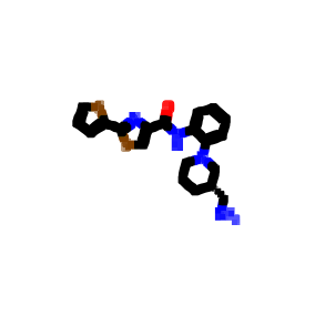 NC[C@@H]1CCCN(c2ccccc2NC(=O)c2csc(-c3cccs3)n2)C1